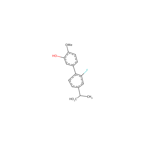 COc1ccc(-c2ccc(C(C)C(=O)O)cc2F)cc1O